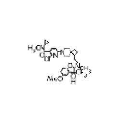 COc1cccc([C@@](O)(C(=O)N(C)CCC2CCC23CCN(c2ccc(C(=O)N(C)C4CC4)c(Cl)n2)CC3)C(F)(F)F)c1